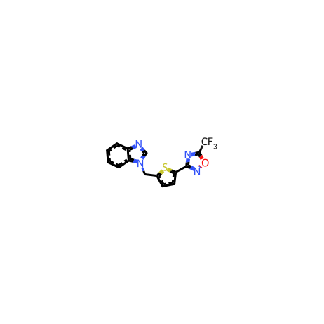 FC(F)(F)c1nc(-c2ccc(Cn3cnc4ccccc43)s2)no1